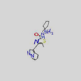 Cc1sc(C(=O)NCC2(N)CCCC2)nc1-c1cnn2ccccc12